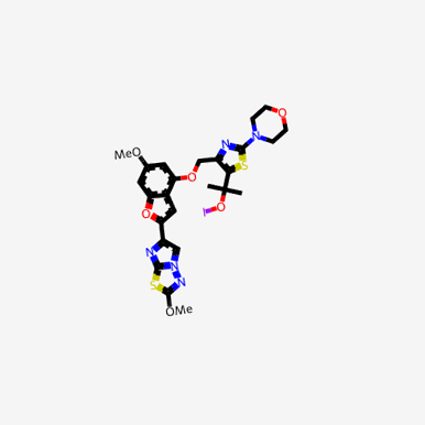 COc1cc(OCc2nc(N3CCOCC3)sc2C(C)(C)OI)c2cc(-c3cn4nc(OC)sc4n3)oc2c1